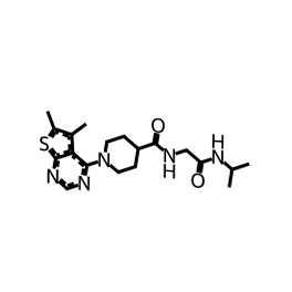 Cc1sc2ncnc(N3CCC(C(=O)NCC(=O)NC(C)C)CC3)c2c1C